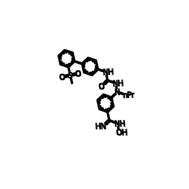 CCCN(NC(=O)Nc1ccc(-c2ccccc2S(C)(=O)=O)cc1)c1cccc(C(=N)NO)c1